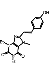 CCn1c(=O)c2c(nc(/C=C/c3ccc(O)cc3)n2C)n(CC)c1=O